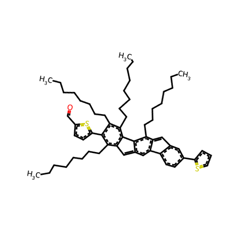 CCCCCCCCc1c(CCCCCCCC)c(-c2ccc(C=O)s2)c(CCCCCCCC)c2c1-c1c(CCCCCCCC)c3c(cc1=C2)-c1ccc(-c2cccs2)cc1C=3